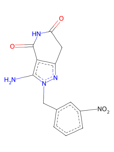 Nc1c2c(nn1Cc1cccc([N+](=O)[O-])c1)CC(=O)NC2=O